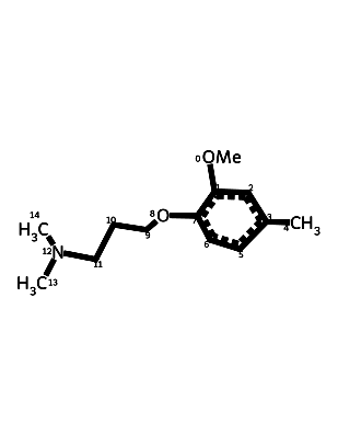 COc1cc(C)ccc1OCCCN(C)C